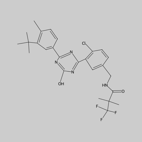 Cc1ccc(-c2nc(O)nc(-c3cc(CNC(=O)C(C)(C)C(F)(F)F)ccc3Cl)n2)cc1C(C)(C)C